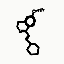 CCCOc1ccc2c(c1)CCN=C2C=CC1CCCCC1